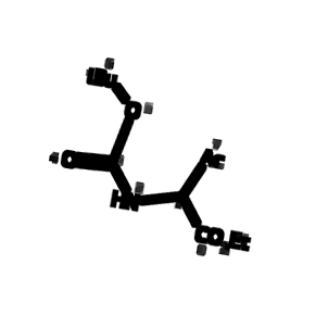 CCOC(=O)C(NC(=O)OC(C)(C)C)C(C)=O